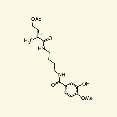 COc1ccc(C(=O)NCCCCNC(=O)/C(C)=C/COC(C)=O)cc1O